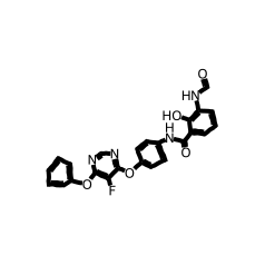 O=CNc1cccc(C(=O)Nc2ccc(Oc3ncnc(Oc4ccccc4)c3F)cc2)c1O